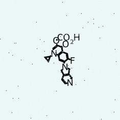 O=C(O)Oc1cn(C2CC2)c2cc(N3Cc4ccncc4C3)c(F)cc2c1=O